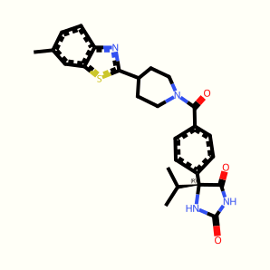 Cc1ccc2nc(C3CCN(C(=O)c4ccc([C@@]5(C(C)C)NC(=O)NC5=O)cc4)CC3)sc2c1